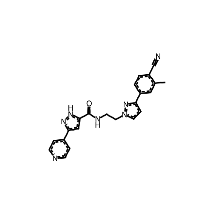 Cc1cc(-c2ccn(CCNC(=O)c3cc(-c4ccncc4)n[nH]3)n2)ccc1C#N